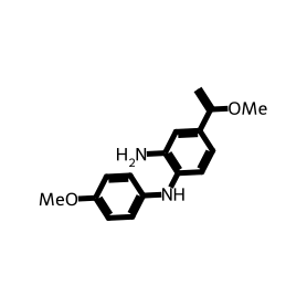 C=C(OC)c1ccc(Nc2ccc(OC)cc2)c(N)c1